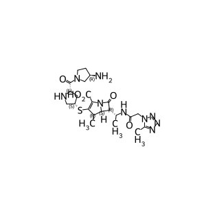 Cc1nnnn1CC(=O)NC(C)[C@H]1C(=O)N2C(C(=O)O)=C(S[C@@H]3CN[C@H](C(=O)N4CC[C@@H](N)C4)C3)[C@H](C)[C@H]12